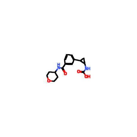 O=C(O)NC1CC1c1cccc(C(=O)NC2CCOCC2)c1